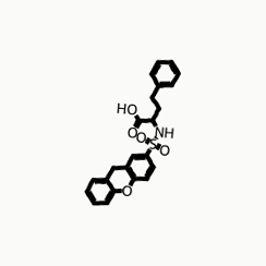 O=C(O)C(CCc1ccccc1)NS(=O)(=O)c1ccc2c(c1)Cc1ccccc1O2